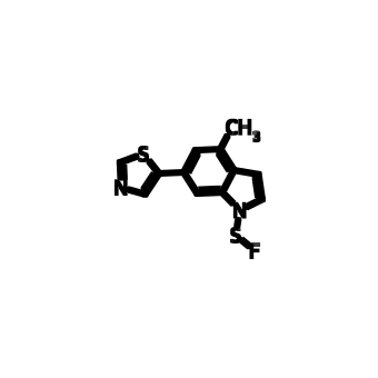 Cc1cc(-c2cncs2)cc2c1ccn2SF